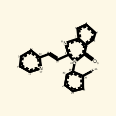 O=c1c2ccccc2nc(C=Cc2ccccn2)n1-c1ccccc1F